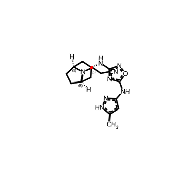 Cc1cc(Nc2nc(N[C@@H]3C[C@H]4CC[C@@H](C3)N4CCC#N)no2)n[nH]1